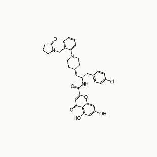 O=C(N[C@H](C=C1CCN(c2ccccc2CN2CCCC2=O)CC1)Cc1ccc(Cl)cc1)c1cc(=O)c2c(O)cc(O)cc2o1